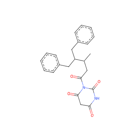 CC(CC(=O)N1C(=O)CC(=O)NC1=O)C(Cc1ccccc1)Cc1ccccc1